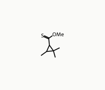 COC(=S)C1C(C)C1(C)C